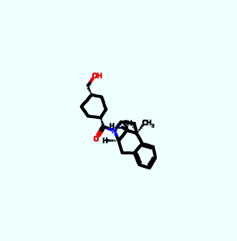 CC1(C)[C@H]2Cc3ccccc3[C@]1(C)CCN2C(=O)[C@H]1CC[C@@H](CO)CC1